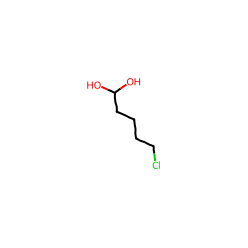 OC(O)CCCCCl